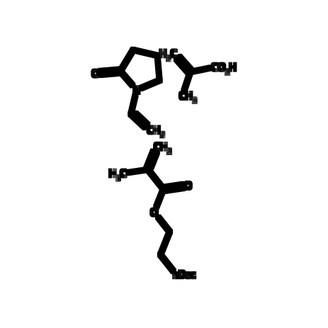 C=C(C)C(=O)O.C=C(C)C(=O)OCCCCCCCCCCCC.C=CN1CCCC1=O